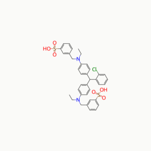 CCN(Cc1cccc(S(=O)(=O)O)c1)c1ccc(C(c2ccc(N(CC)Cc3cccc(S(=O)(=O)O)c3)cc2)c2ccccc2Cl)cc1